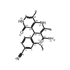 COc1cc(C#N)ccc1C1C(C(N)=O)=C(C)Nc2c(C)c[nH]c(=O)c21